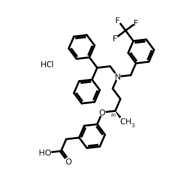 C[C@H](CCN(Cc1cccc(C(F)(F)F)c1)CC(c1ccccc1)c1ccccc1)Oc1cccc(CC(=O)O)c1.Cl